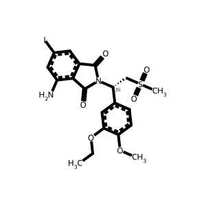 CCOc1cc([C@@H](CS(C)(=O)=O)N2C(=O)c3cc(I)cc(N)c3C2=O)ccc1OC